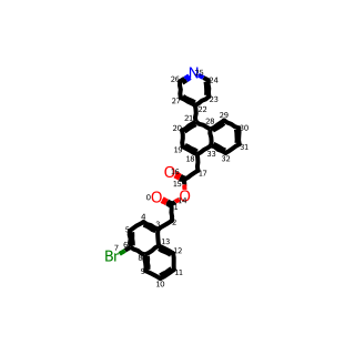 O=C(Cc1ccc(Br)c2ccccc12)OC(=O)Cc1ccc(-c2ccncc2)c2ccccc12